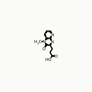 Cn1c(=O)c(CCC(=O)O)nc2ncccc21